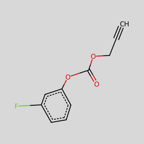 C#CCOC(=O)Oc1cccc(F)c1